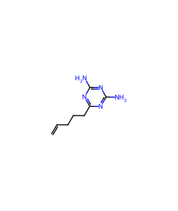 C=CCCCc1nc(N)nc(N)n1